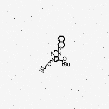 CC(C)(C)C(=O)c1cn(COCC[Si](C)(C)C)c2ncc(N3CCc4ccccc4C3)nc12